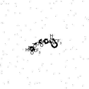 C[C@@H](CO[C@@H]1CCN(C2CCN(C3C[N+]4(CCCCCCC4)C(C(F)(F)F)CN3)CC2)C1=O)Oc1cn[nH]c(=O)c1C(F)(F)F